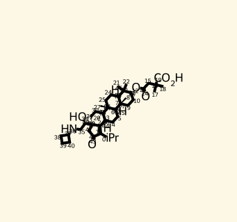 CC(C)C1=C2[C@H]3CC[C@@H]4[C@@]5(C)CC[C@H](OC(=O)CC(C)(C)C(=O)O)C(C)(C)[C@H]5CC[C@@]4(C)[C@]3(C)CC[C@@]2([C@@H](O)CNC2CCC2)CC1=O